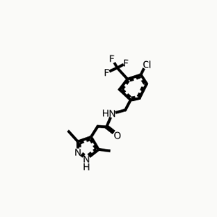 Cc1n[nH]c(C)c1CC(=O)NCc1ccc(Cl)c(C(F)(F)F)c1